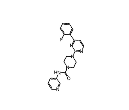 O=C(Nc1cccnc1)N1CCN(c2nccc(-c3ccccc3F)n2)CC1